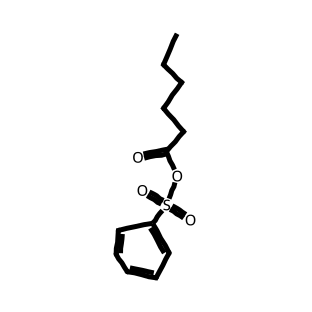 CCCCCC(=O)OS(=O)(=O)c1ccccc1